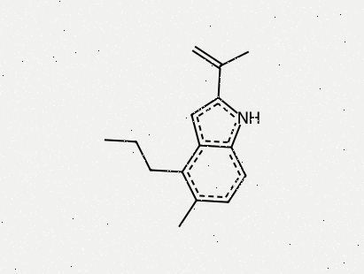 C=C(C)c1cc2c(CCC)c(C)ccc2[nH]1